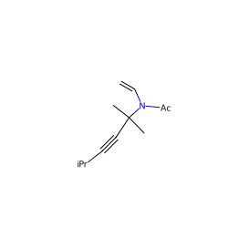 C=CN(C(C)=O)C(C)(C)C#CC(C)C